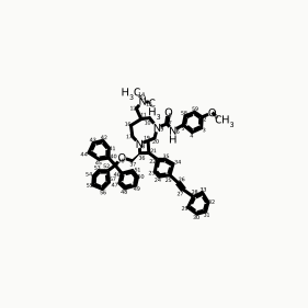 COc1ccc(NC(=O)N2CC(CN(C)C)CCN3C(C2)C(c2ccc(C#Cc4ccccc4)cc2)[C@H]3COC(c2ccccc2)(c2ccccc2)c2ccccc2)cc1